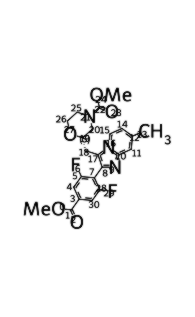 COC(=O)c1cc(F)c(-c2nc3cc(C)ccn3c2C[C@H]2CN(C(=O)OC)CCO2)c(F)c1